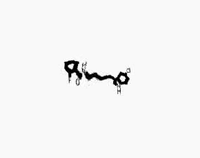 O=C(NCCCCc1c[nH]c2ccc(Cl)cc12)c1ccccc1F